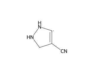 N#CC1=[C]NNC1